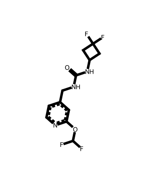 O=C(NCc1ccnc(OC(F)F)c1)NC1CC(F)(F)C1